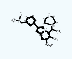 Cc1c(C(=O)O)cc2cc(-c3cccc(CN(C)C)c3)cn2c1C(C)N1CCOCC1